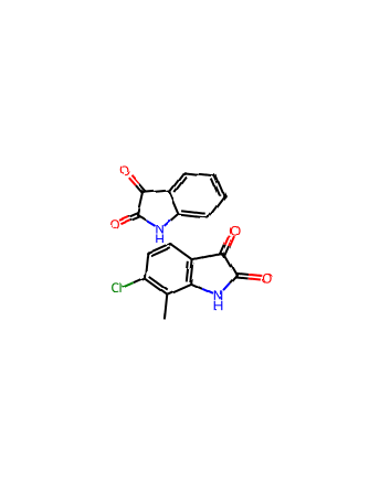 Cc1c(Cl)ccc2c1NC(=O)C2=O.O=C1Nc2ccccc2C1=O